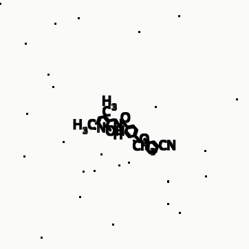 Cc1cc(C)c(CNC(=O)c2ccc(C(C)Oc3cccc(C#N)c3)cc2)c(O)n1